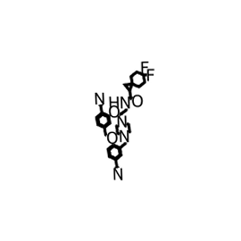 N#Cc1ccc(COc2ccc(C#N)cc2CN2CCN(C(=O)CNC(=O)C3CC34CCC(F)(F)CC4)CC2)cc1